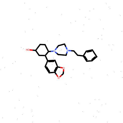 OC1CCC(N2CCN(CCc3ccccc3)CC2)C(c2ccc3c(c2)OCO3)C1